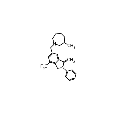 C=C1c2cc(CN3CCCCC(C)C3)cc(C(F)(F)F)c2CN1c1ccccc1